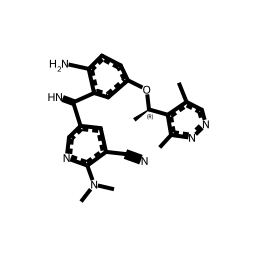 Cc1cnnc(C)c1[C@@H](C)Oc1ccc(N)c(C(=N)c2cnc(N(C)C)c(C#N)c2)c1